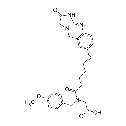 COc1ccc(CN(CC(=O)O)C(=O)CCCCOc2ccc3c(c2)CN2CC(=O)NC2=N3)cc1